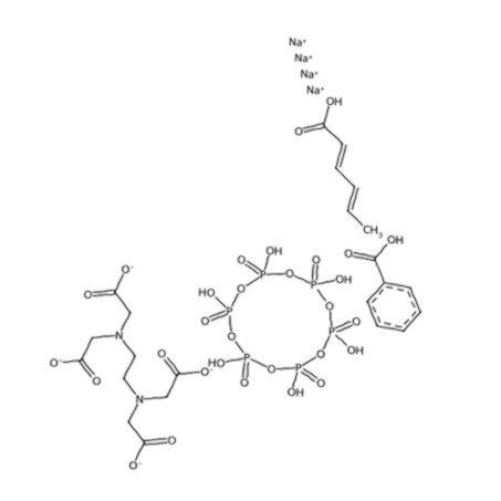 CC=CC=CC(=O)O.O=C(O)c1ccccc1.O=C([O-])CN(CCN(CC(=O)[O-])CC(=O)[O-])CC(=O)[O-].O=P1(O)OP(=O)(O)OP(=O)(O)OP(=O)(O)OP(=O)(O)OP(=O)(O)O1.[Na+].[Na+].[Na+].[Na+]